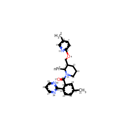 CCCC1C(COc2ccc(C)cn2)CCCN1C(=O)c1cc(C)ccc1-c1ncccn1